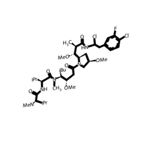 CC[C@H](C)[C@@H]([C@H](CC(=O)N1C[C@H](OC)C[C@@H]1[C@H](OC)[C@@H](C)C(=O)NC(Cl)Cc1ccc(Cl)c(F)c1)OC)N(C)C(=O)[C@@H](NC(=O)[C@@H](NC)C(C)C)C(C)C